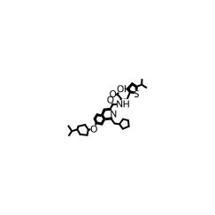 CC(C)c1ccc(C[C@H](NC(=O)c2cc3ccc(OC4CCC(C(C)C)CC4)cc3c(CC3CCCC3)n2)C(=O)O)s1